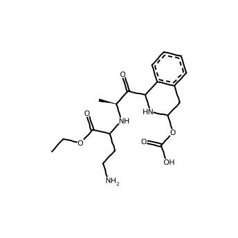 CCOC(=O)C(CCN)N[C@@H](C)C(=O)C1NC(OC(=O)O)Cc2ccccc21